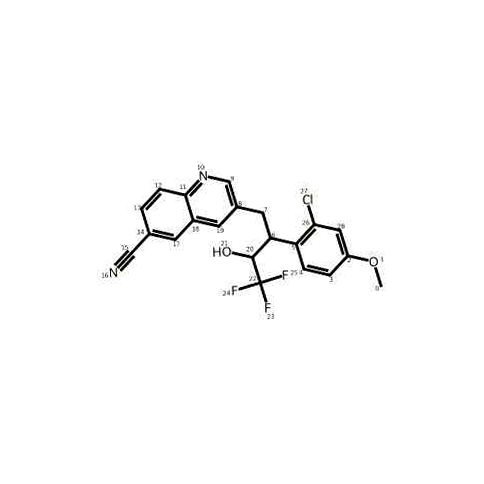 COc1ccc(C(Cc2cnc3ccc(C#N)cc3c2)C(O)C(F)(F)F)c(Cl)c1